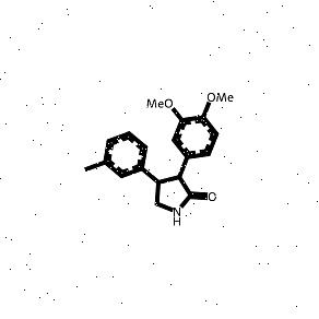 COc1ccc(C2C(=O)NCC2c2cccc(C)c2)cc1OC